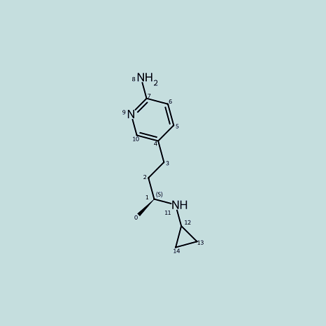 C[C@@H](CCc1ccc(N)nc1)NC1CC1